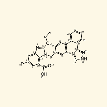 CCOc1nc2cc(F)cc(C(=O)O)c2n1Cc1ccc(-c2ccccc2-c2nn[nH]n2)cc1